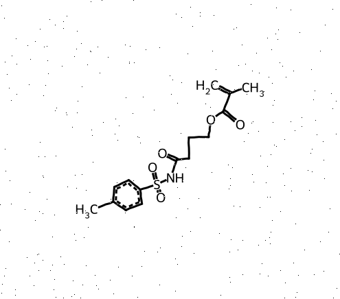 C=C(C)C(=O)OCCCC(=O)NS(=O)(=O)c1ccc(C)cc1